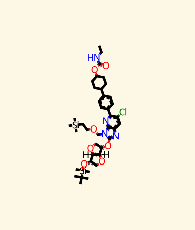 CCNC(=O)OC1CCC(c2ccc(-c3nc4c(cc3Cl)nc(O[C@@H]3CO[C@H]5[C@@H]3OC[C@H]5O[Si](C)(C)C(C)(C)C)n4COCC[Si](C)(C)C)cc2)CC1